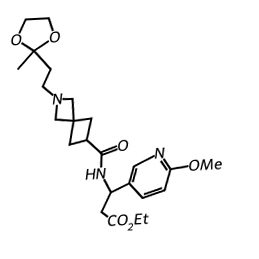 CCOC(=O)CC(NC(=O)C1CC2(C1)CN(CCC1(C)OCCO1)C2)c1ccc(OC)nc1